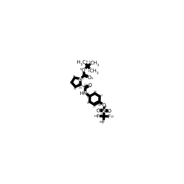 CC(C)(C)OC(=O)N1CCC[C@H]1C(=O)NC1CC=C(OS(=O)(=O)C(F)(F)F)CC1